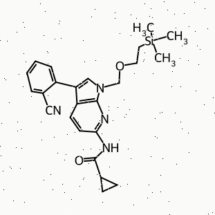 C[Si](C)(C)CCOCn1cc(-c2ccccc2C#N)c2ccc(NC(=O)C3CC3)nc21